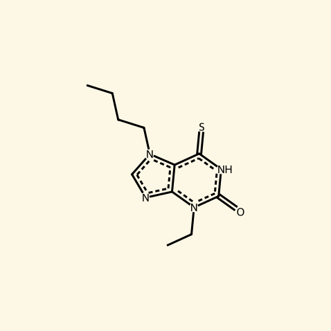 CCCCn1cnc2c1c(=S)[nH]c(=O)n2CC